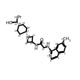 Cc1ccc2ccnc(NCC(=O)NC3CN([C@H]4CC[C@@H](C(O)C(C)C)CC4)C3)c2c1